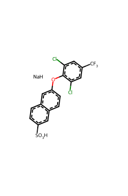 O=S(=O)(O)c1ccc2cc(Oc3c(Cl)cc(C(F)(F)F)cc3Cl)ccc2c1.[NaH]